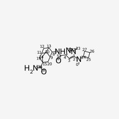 CN(c1cc(C(=O)NC2C3CC4CC2CC(C(N)=O)(C4)C3)nn1C)C1CCC1